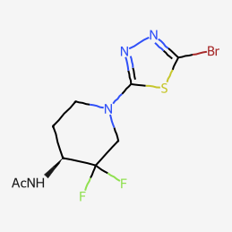 CC(=O)N[C@H]1CCN(c2nnc(Br)s2)CC1(F)F